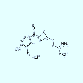 Cl.NC(CO)CCN1CC(C(=O)c2ccc(Cl)c(F)c2)C1